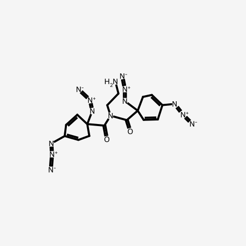 [N-]=[N+]=NC1=CCC(N=[N+]=[N-])(C(=O)N(CCN)C(=O)C2(N=[N+]=[N-])C=CC(N=[N+]=[N-])=CC2)C=C1